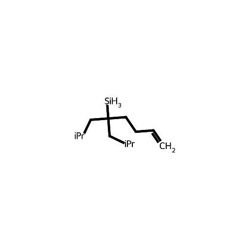 C=CCCC([SiH3])(CC(C)C)CC(C)C